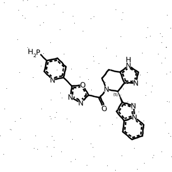 O=C(c1nnc(-c2ccc(P)cn2)o1)N1CCc2[nH]cnc2[C@H]1c1cc2ccccn2n1